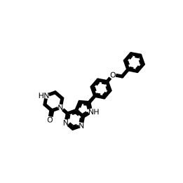 O=C1CNCCN1c1ncnc2[nH]c(-c3ccc(OCc4ccccc4)cc3)cc12